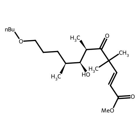 CCCCOCCC[C@H](C)[C@H](O)[C@@H](C)C(=O)C(C)(C)/C=C/C(=O)OC